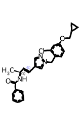 C[C@@H](/C=C/c1cnn(Cc2ccc(OCC3CC3)cc2Cl)c1)NC(=O)c1ccccc1